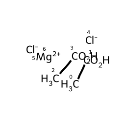 CC(=O)O.CC(=O)O.[Cl-].[Cl-].[Mg+2]